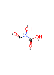 O=CN(O)C(=O)O